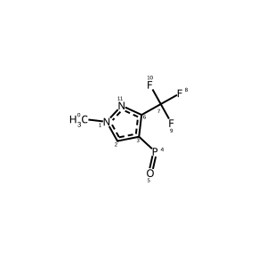 Cn1cc(P=O)c(C(F)(F)F)n1